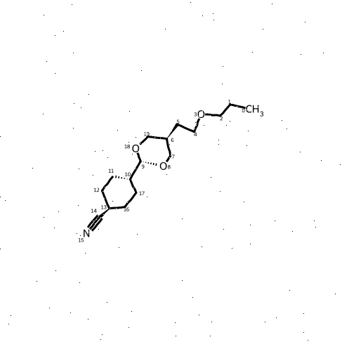 CCCOCC[C@H]1CO[C@H]([C@H]2CC[C@H](C#N)CC2)OC1